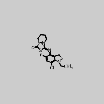 CCN1SCc2c(N=c3sc(=O)n4n3CCCC4)c(F)cc(Cl)c21